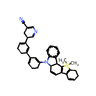 CS1(C)C2=C(C=CCC2)C2=C1C1c3ccccc3N(C3=CC(C4=CC(C5C=NC=C(C#N)C5)=CCC4)=CCC3)C1C=C2